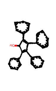 OC1C(c2ccccc2)=C(c2ccccc2)C(c2ccccc2)=C1c1ccccc1